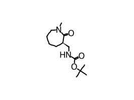 CN1CCCC[C@H](CNC(=O)OC(C)(C)C)C1=O